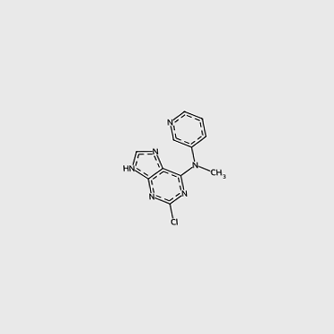 CN(c1cccnc1)c1nc(Cl)nc2[nH]cnc12